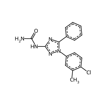 Cc1cc(-n2nc(NC(N)=O)nc2-c2ccccc2)ccc1Cl